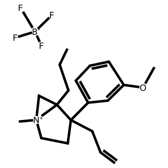 C=CCC1(c2cccc(OC)c2)CC[N+]2(C)CC12CCC.F[B-](F)(F)F